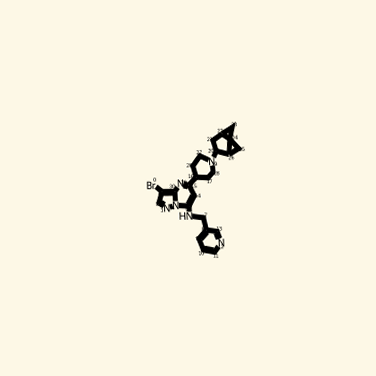 Brc1cnn2c(NCc3cccnc3)cc(C3CCN(C4CC5CC56CC46)CC3)nc12